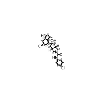 O=C(Nc1ccc(Cl)cc1)N1C[C@@H]2C[C@@](O)(c3cc(Cl)cc4[nH]ncc34)C[C@@H]2C1